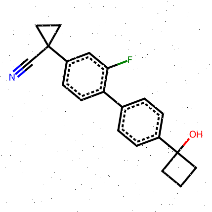 N#CC1(c2ccc(-c3ccc(C4(O)CCC4)cc3)c(F)c2)CC1